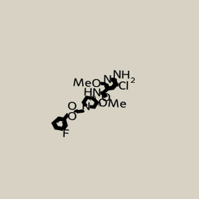 COc1nc(N)c(Cl)cc1C(=O)N[C@H]1CCN(CC(=O)OCc2cccc(F)c2)C[C@H]1OC